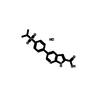 CC(C)S(=O)(=O)c1ccc(-c2cnc3[nH]c(C(=O)O)cc3c2)cc1.Cl